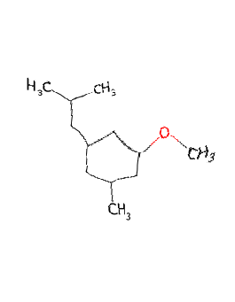 COC1CC(C)CC(CC(C)C)C1